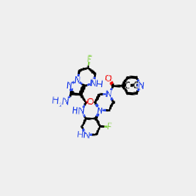 Nc1nn2c(c1C(=O)NC1CNCC(F)C1N1CCN(C(=O)C34CCN(CC3)CC4)CC1)NCC(F)C2